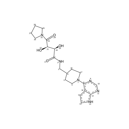 O=C(NCC1CCN(c2ncnc3[nH]ccc23)CC1)[C@H](O)[C@@H](O)C(=O)N1CCCC1